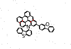 c1ccc(-c2cccc3cccc(-c4ccccc4N(c4cccc(-c5ccc6c(c5)oc5ccccc56)c4)c4cccc5sc6ccccc6c45)c23)cc1